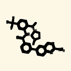 CN1CC[C@@H](N(C)c2ccc(C(F)(F)F)cc2NC(=O)c2cccc(-c3ccc4nc(N)ncc4c3)c2)C1